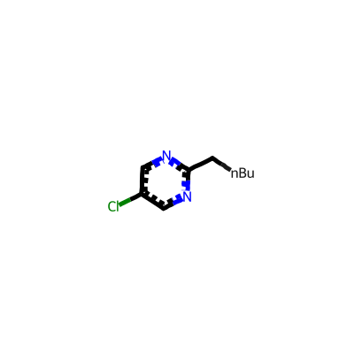 CCCCCc1ncc(Cl)cn1